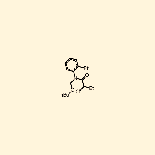 CCCCOCN(C(=O)C(Cl)CC)c1ccccc1CC